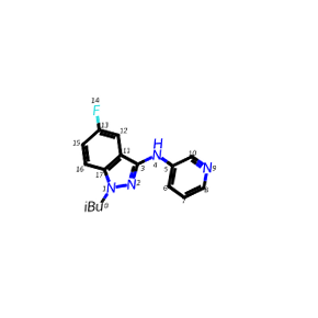 CCC(C)n1nc(Nc2cccnc2)c2cc(F)ccc21